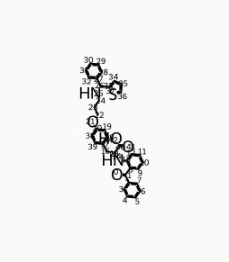 O=C(c1ccccc1)c1ccccc1N[C@@H](Cc1ccc(OCCCNC(c2ccccc2)c2cccs2)cc1)C(=O)O